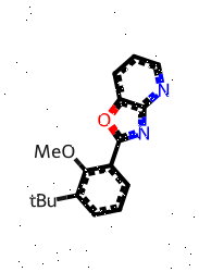 COc1c(-c2nc3ncccc3o2)cccc1C(C)(C)C